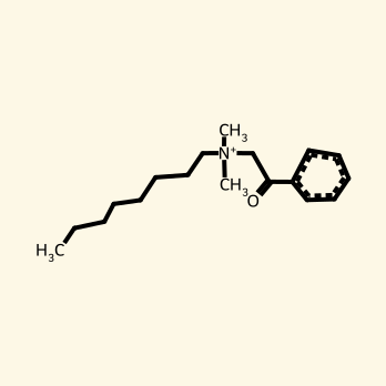 CCCCCCCC[N+](C)(C)CC(=O)c1ccccc1